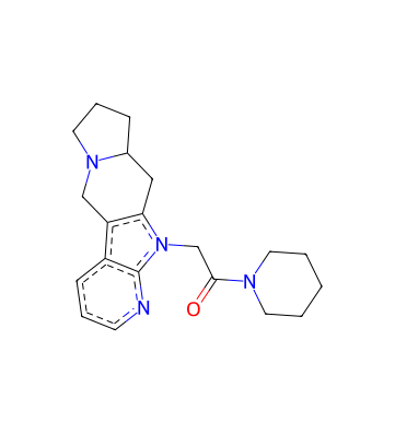 O=C(Cn1c2c(c3cccnc31)CN1CCCC1C2)N1CCCCC1